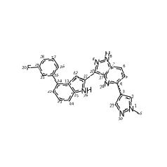 Cn1cc(-c2ccc3[nH]nc(-c4cc5c(-c6cccc(F)c6)cccc5[nH]4)c3n2)cn1